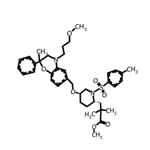 COCCCN1CC(C)(c2ccccc2)Oc2ccc(CO[C@@H]3CC[C@@H](CC(C)(C)C(=O)OC)N(S(=O)(=O)c4ccc(C)cc4)C3)cc21